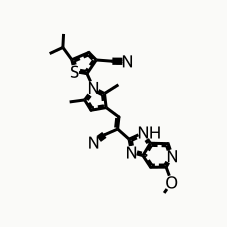 COc1cc2nc(C(C#N)=Cc3cc(C)n(-c4sc(C(C)C)cc4C#N)c3C)[nH]c2cn1